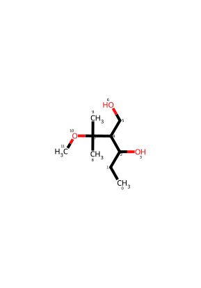 CCC(O)C(CO)C(C)(C)OC